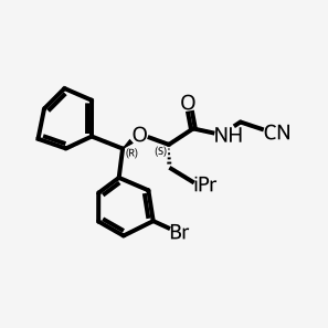 CC(C)C[C@H](O[C@H](c1ccccc1)c1cccc(Br)c1)C(=O)NCC#N